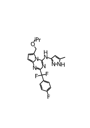 Cc1cc(Nc2nc(C(F)(F)c3ccc(F)cc3)nc3ccc(COC(C)C)n23)n[nH]1